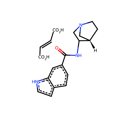 O=C(NC1CN2CC[C@H]1C2)c1ccc2cc[nH]c2c1.O=C(O)/C=C/C(=O)O